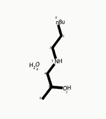 CCCCCCNCC(C)O.O